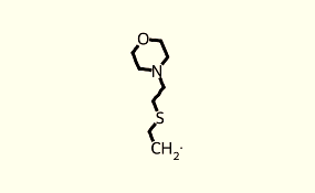 [CH2]CSCCN1CCOCC1